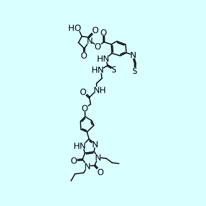 CCCn1c(=O)c2[nH]c(-c3ccc(OCC(=O)NCCNC(=S)Nc4cc(N=C=S)ccc4C(=O)ON4C(=O)CC(O)C4=O)cc3)nc2n(CCC)c1=O